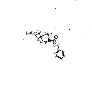 O=C(OCc1ccccc1)N1CCC2(CC1)CC(O)C2